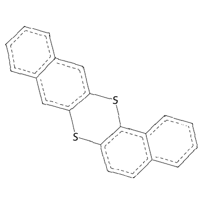 c1ccc2cc3c(cc2c1)Sc1ccc2ccccc2c1S3